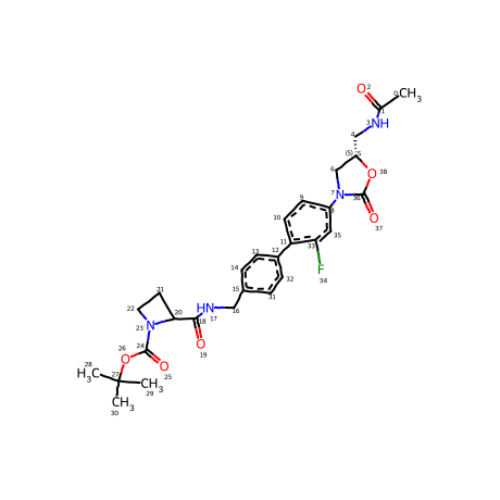 CC(=O)NC[C@H]1CN(c2ccc(-c3ccc(CNC(=O)C4CCN4C(=O)OC(C)(C)C)cc3)c(F)c2)C(=O)O1